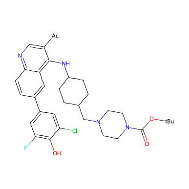 CC(=O)c1cnc2ccc(-c3cc(F)c(O)c(Cl)c3)cc2c1NC1CCC(CN2CCN(C(=O)OC(C)(C)C)CC2)CC1